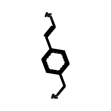 CC(=O)/C=C/c1ccc(CC(C)=O)cc1